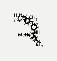 CCCN1C(N)=CC2C1=CC=C(CN1CCC(Nc3nc(NC)nc4sc(CC(F)(F)F)cc34)CC1)C2C